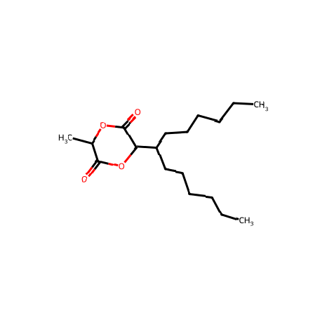 CCCCCCC(CCCCCC)C1OC(=O)C(C)OC1=O